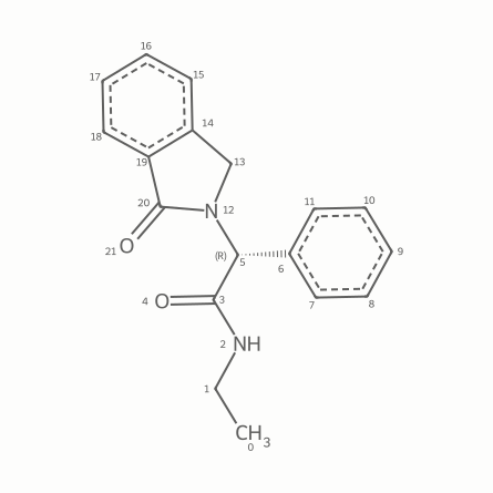 CCNC(=O)[C@@H](c1ccccc1)N1Cc2ccccc2C1=O